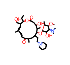 CCC1OC(=O)CC(O)C(C)C(OC2OC(C)C(OC)C(N(C)C)C2O)C(CCN2CCCCC2)CC(C)C(=O)/C=C/C(C)=C/C1CO